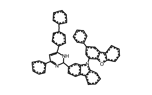 C1=C(c2ccc(-c3ccccc3)cc2)NC(c2ccc3c4ccccc4n(-c4cc(-c5ccccc5)cc5c4oc4ccccc45)c3c2)N=C1c1ccccc1